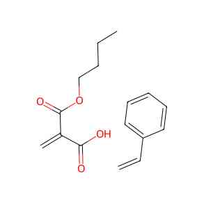 C=C(C(=O)O)C(=O)OCCCC.C=Cc1ccccc1